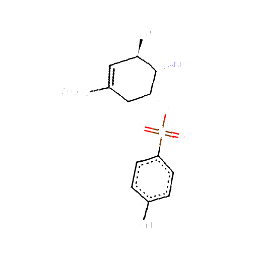 CCOC(=O)C1=C[C@@H](C)[C@H](N)[C@H](OS(=O)(=O)c2ccc(C)cc2)C1